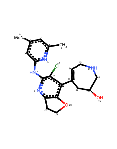 CNc1cc(C)nc(Nc2nc3c(c(C4=CCNC[C@@H](O)C4)c2Cl)OCC3)c1